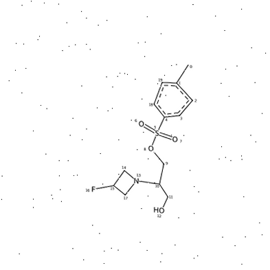 Cc1ccc(S(=O)(=O)OCC(CO)N2CC(F)C2)cc1